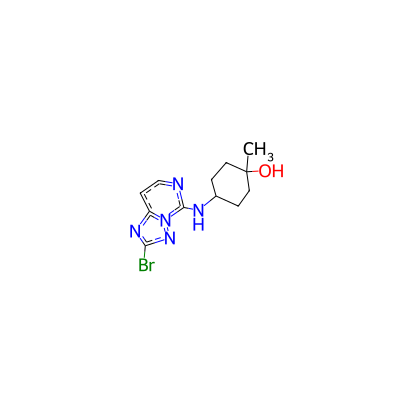 CC1(O)CCC(Nc2nccc3nc(Br)nn23)CC1